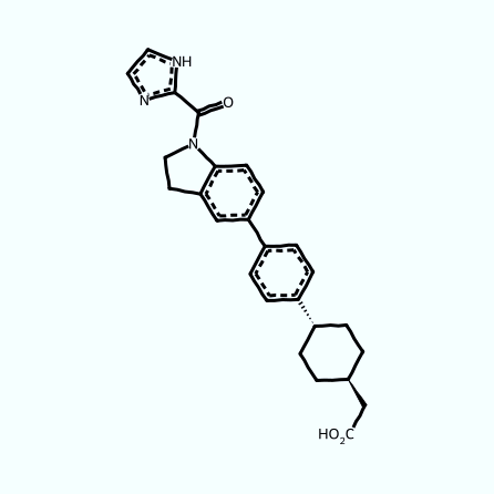 O=C(O)C[C@H]1CC[C@H](c2ccc(-c3ccc4c(c3)CCN4C(=O)c3ncc[nH]3)cc2)CC1